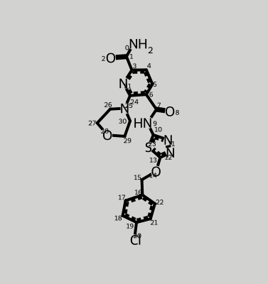 NC(=O)c1ccc(C(=O)Nc2nnc(OCc3ccc(Cl)cc3)s2)c(N2CCOCC2)n1